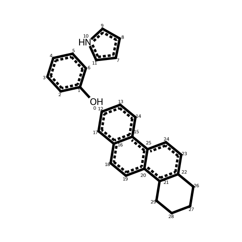 Oc1ccccc1.c1cc[nH]c1.c1ccc2c(c1)ccc1c3c(ccc12)CCCC3